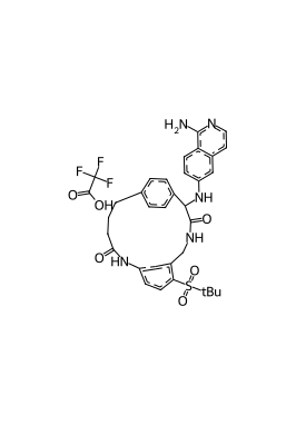 CC(C)(C)S(=O)(=O)c1ccc2cc1CNC(=O)C(Nc1ccc3c(N)nccc3c1)c1ccc(cc1)CCCC(=O)N2.O=C(O)C(F)(F)F